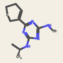 CC(C)Nc1nc(N[C@H](C)C(F)(F)F)nc(C2=CCCCC2)n1